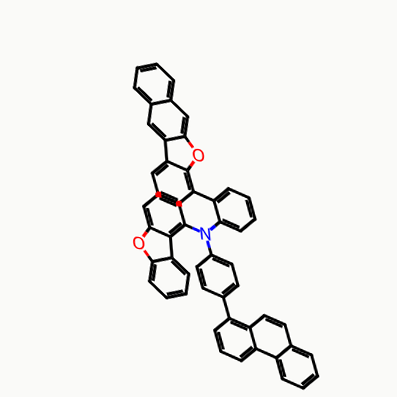 c1ccc(N(c2ccc(-c3cccc4c3ccc3ccccc34)cc2)c2cccc3oc4ccccc4c23)c(-c2cccc3c2oc2cc4ccccc4cc23)c1